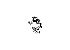 CC(Cn1nc2ncnc(N)c2n1)OCP(=O)(O)O